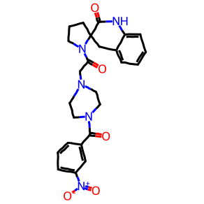 O=C(c1cccc([N+](=O)[O-])c1)N1CCN(CC(=O)N2CCCC23Cc2ccccc2NC3=O)CC1